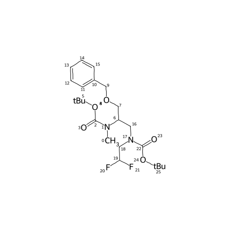 CN(C(=O)OC(C)(C)C)C(COCc1ccccc1)CN(CC(F)F)C(=O)OC(C)(C)C